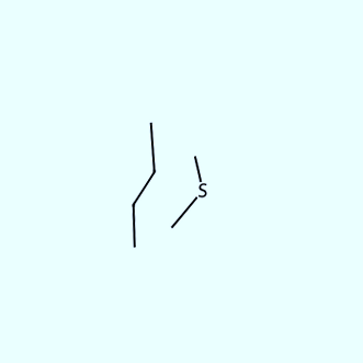 CCCC.CSC